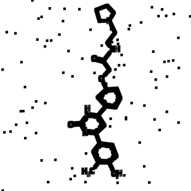 Cc1cc(-c2cc(-c3cccc(OCC(=O)NCCN4CCCC4)c3)[nH]c(=O)n2)ccc1O